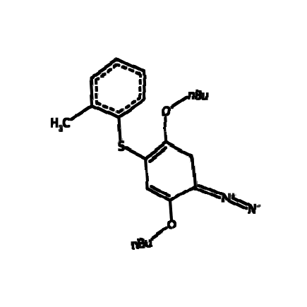 CCCCOC1=CC(Sc2ccccc2C)=C(OCCCC)CC1=[N+]=[N-]